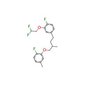 Cc1ccc(F)c(OCC(C)CCc2ccc(F)c(OCC(F)F)c2)c1